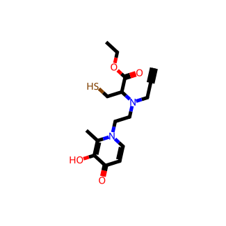 C#CCN(CCn1ccc(=O)c(O)c1C)C(CS)C(=O)OCC